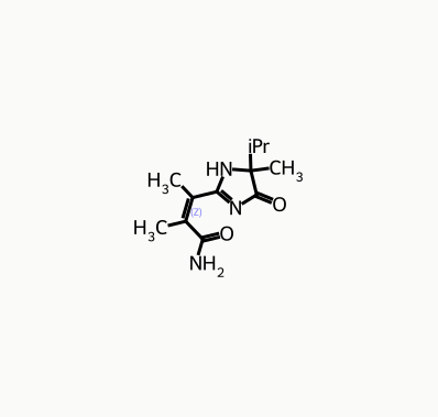 C/C(C(N)=O)=C(\C)C1=NC(=O)C(C)(C(C)C)N1